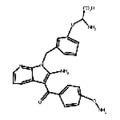 NOc1ccc(C(=O)c2c(N)n(Cc3cccc(O[C@H](N)C(=O)O)c3)c3ncccc23)cc1